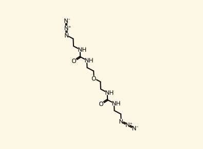 [N-]=[N+]=NCCNC(=O)NCCOCCNC(=O)NCCN=[N+]=[N-]